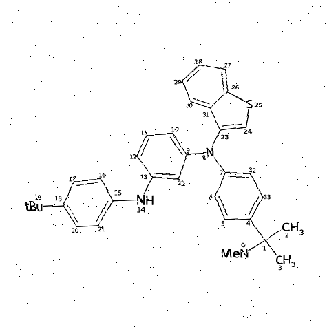 CNC(C)(C)c1ccc(N(c2cccc(Nc3ccc(C(C)(C)C)cc3)c2)c2csc3ccccc23)cc1